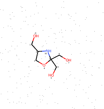 OCC1COC(CO)(CO)N1